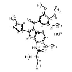 COc1cc(C(=O)c2c(-c3cnn(C)c3)oc3c(NC(=O)[C@@H](N)CO)c(OC)ccc23)cc(OC)c1OC.Cl